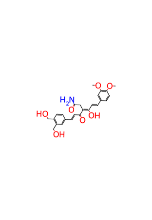 COc1ccc(/C=C/C(O)=C(\CC(N)=O)C(=O)/C=C/c2ccc(CO)c(CO)c2)cc1OC